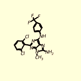 Cn1c(N)nc2c(Nc3ccc(C(F)(F)F)cc3)nc(-c3c(Cl)cccc3Cl)nc21